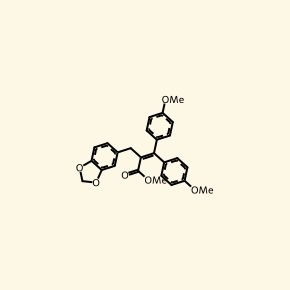 COC(=O)C(Cc1ccc2c(c1)OCO2)=C(c1ccc(OC)cc1)c1ccc(OC)cc1